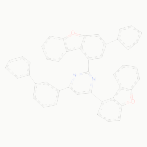 c1ccc(-c2cccc(-c3cc(-c4cccc5oc6ccccc6c45)nc(-c4cc(-c5ccccc5)cc5oc6ccccc6c45)n3)c2)cc1